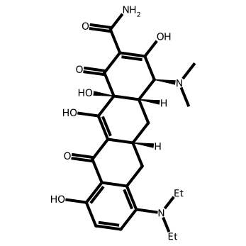 CCN(CC)c1ccc(O)c2c1C[C@H]1C[C@H]3[C@H](N(C)C)C(O)=C(C(N)=O)C(=O)[C@@]3(O)C(O)=C1C2=O